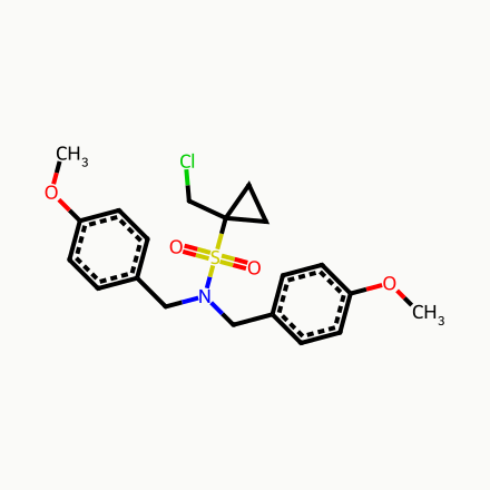 COc1ccc(CN(Cc2ccc(OC)cc2)S(=O)(=O)C2(CCl)CC2)cc1